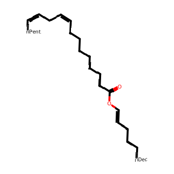 CCCCC/C=C\C/C=C\CCCCCCCC(=O)OC=CCCCCCCCCCCCCC